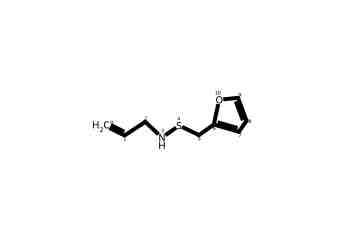 C=CCNSCc1ccco1